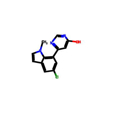 Cn1ccc2cc(Cl)cc(-c3cc(O)ncn3)c21